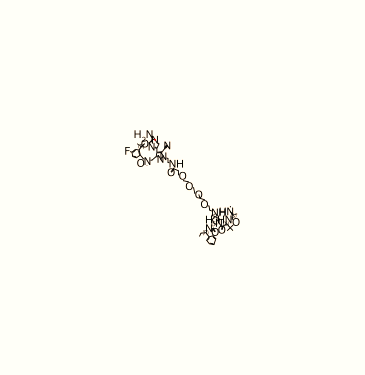 CC[C@@H](NC(=O)[C@@H]1C[C@H](NCCOCCOCCOCCOCCC(=O)NCCn2nc3c(c2C#N)-c2cnc(N)c(n2)O[C@H](C)c2cc(F)ccc2C(=O)N(C)C3)CN1C(=O)[C@@H](NC(=O)[C@H](C)NC)C(C)(C)C)c1ccccc1